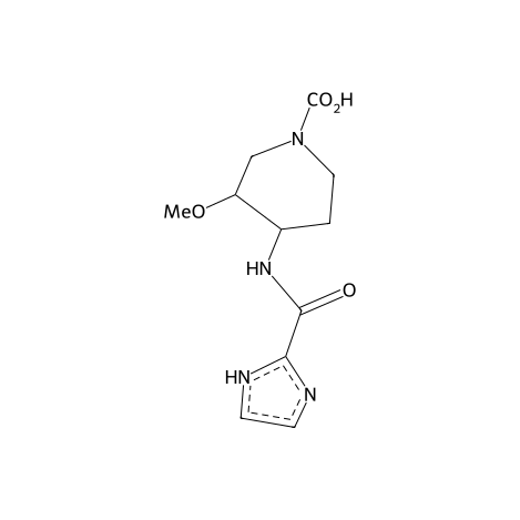 COC1CN(C(=O)O)CCC1NC(=O)c1ncc[nH]1